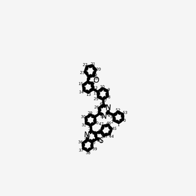 c1ccc(-c2nc(-c3cccc(-c4cccc5c4oc4ccccc45)c3)cc(-c3cccc(-c4nc5ccccc5c5sc6ccccc6c45)c3)n2)cc1